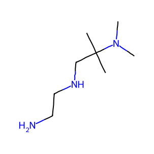 CN(C)C(C)(C)CNCCN